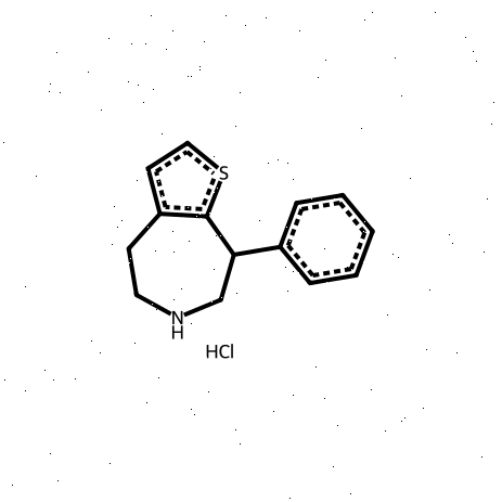 Cl.c1ccc(C2CNCCc3ccsc32)cc1